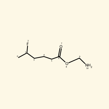 CC(F)CCCC(=O)OCN